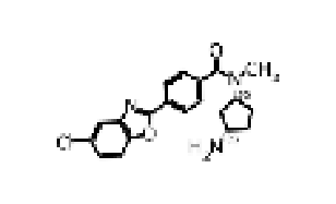 CN(C(=O)c1ccc(-c2nc3cc(Cl)ccc3o2)cc1)[C@@H]1CC[C@H](N)C1